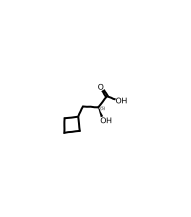 O=C(O)[C@@H](O)CC1CCC1